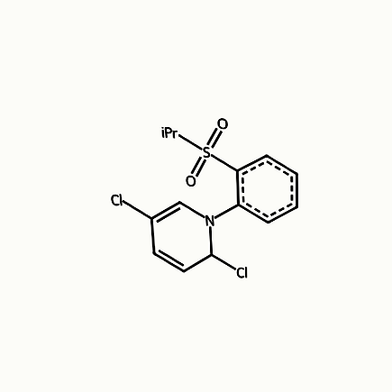 CC(C)S(=O)(=O)c1ccccc1N1C=C(Cl)C=CC1Cl